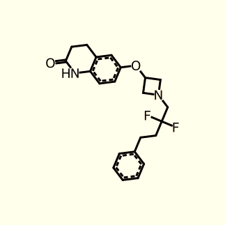 O=C1CCc2cc(OC3CN(CC(F)(F)CCc4ccccc4)C3)ccc2N1